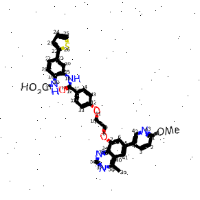 COc1ccc(-c2cc(OCCOc3ccc(C(=O)Nc4cc(-c5cccs5)ccc4NC(=O)O)cc3)c3ncnc(C)c3c2)cn1